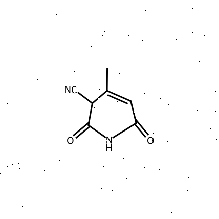 CC1=CC(=O)NC(=O)C1C#N